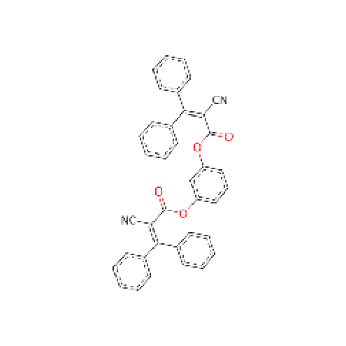 N#CC(C(=O)Oc1cccc(OC(=O)C(C#N)=C(c2ccccc2)c2ccccc2)c1)=C(c1ccccc1)c1ccccc1